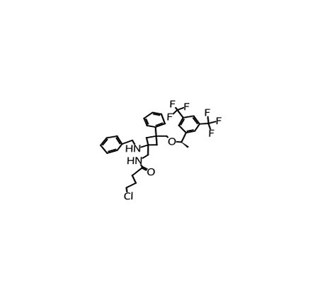 C[C@@H](OCC1(c2ccccc2)CC(CNC(=O)CCCCl)(NCc2ccccc2)C1)c1cc(C(F)(F)F)cc(C(F)(F)F)c1